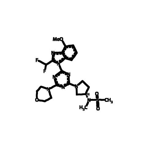 COc1cccc2c1nc(C(F)F)n2-c1nc(N2CCOCC2)nc(N2CC[C@H](N(C)S(C)(=O)=O)C2)n1